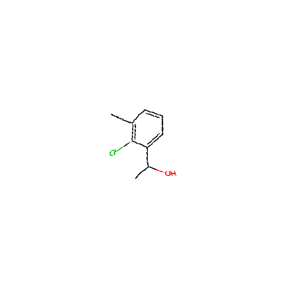 Cc1cccc(C(C)O)c1Cl